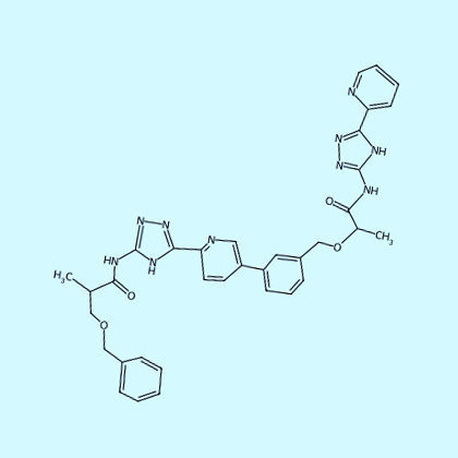 CC(COCc1ccccc1)C(=O)Nc1nnc(-c2ccc(-c3cccc(COC(C)C(=O)Nc4nnc(-c5ccccn5)[nH]4)c3)cn2)[nH]1